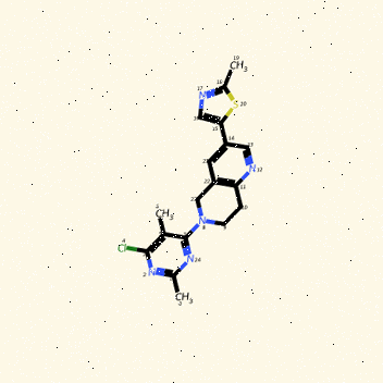 Cc1nc(Cl)c(C)c(N2CCc3ncc(-c4cnc(C)s4)cc3C2)n1